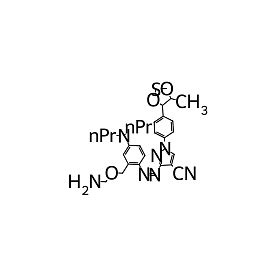 CCCN(CCC)c1ccc(/N=N\c2nn(-c3ccc(C4OSOC4C)cc3)cc2C#N)c(COCN)c1